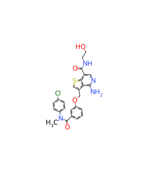 CN(C(=O)c1cccc(OCc2csc3c(C(=O)NCCO)cnc(N)c23)c1)c1ccc(Cl)cc1